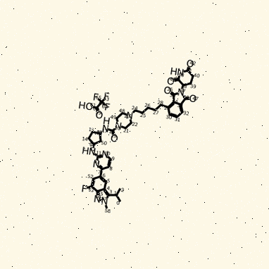 CC(C)c1c2cc(-c3ccnc(N[C@H]4CC[C@H](NC(=O)N5CCN(CCCCCc6cccc7c6C(=O)N(C6CCC(=O)NC6=O)C7=O)CC5)C4)n3)cc(F)c2nn1C.O=C(O)C(F)(F)F